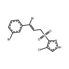 O=S(=O)(CC=C(Br)c1cccc(Br)c1)c1n[nH]cc1Cl